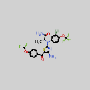 C[C@H](C(N)=O)N(c1ccc(OC(F)(F)F)c(Cl)c1)c1nc(N)c(C(=O)c2ccc(OC(F)F)cc2)s1